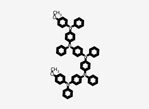 COc1ccc(N(c2ccccc2)c2ccc(N(c3ccccc3)c3ccc(N(c4ccccc4)c4ccc(N(c5ccccc5)c5ccc(N(c6ccccc6)c6ccc(OC)cc6)cc5)cc4)cc3)cc2)cc1